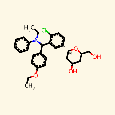 CCOc1ccc(C(c2cc([C@H]3CC(O)CC(CO)O3)ccc2Cl)N(CC)c2ccccc2)cc1